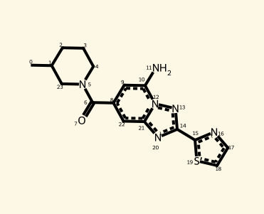 CC1CCCN(C(=O)c2cc(N)n3nc(-c4nccs4)nc3c2)C1